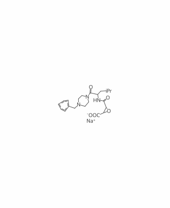 CC(C)CC(NC(=O)C1OC1C(=O)[O-])C(=O)N1CCN(Cc2ccccc2)CC1.[Na+]